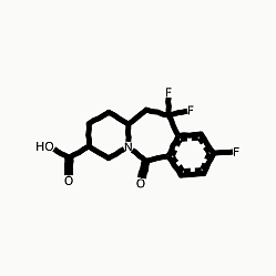 O=C(O)C1CCC2CC(F)(F)c3cc(F)ccc3C(=O)N2C1